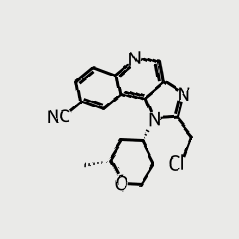 C[C@@H]1C[C@H](n2c(CCl)nc3cnc4ccc(C#N)cc4c32)CCO1